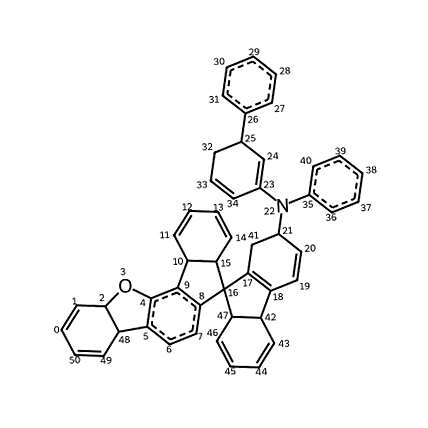 C1=CC2Oc3c(ccc4c3C3C=CC=CC3C43C4=C(C=CC(N(C5=CC(c6ccccc6)CC=C5)c5ccccc5)C4)C4C=CC=CC43)C2C=C1